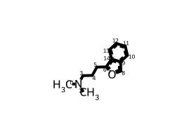 CN(C)CCCc1occ2ccccc12